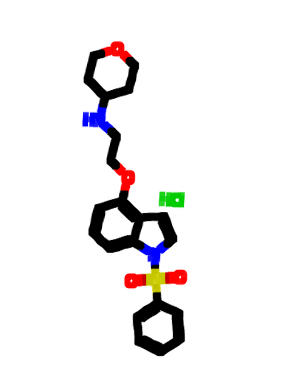 Cl.O=S(=O)(c1ccccc1)n1ccc2c(OCCNC3CCOCC3)cccc21